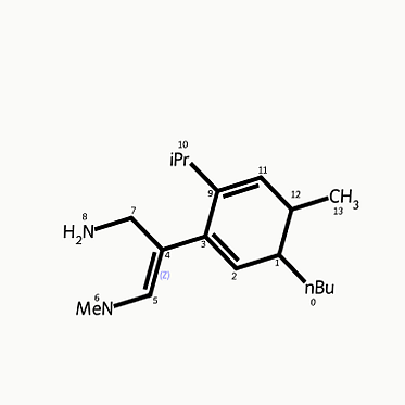 CCCCC1C=C(/C(=C/NC)CN)C(C(C)C)=CC1C